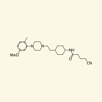 COc1ccc(C)c(N2CCN(CCC3CCC(NC(=O)CCCC#N)CC3)CC2)c1